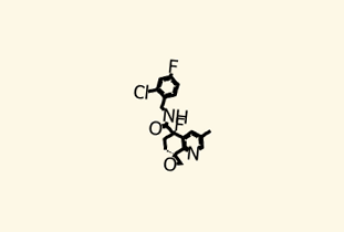 Cc1cnc2c(c1)[C@](F)(C(=O)NCc1ccc(F)cc1Cl)CC[C@@]21CO1